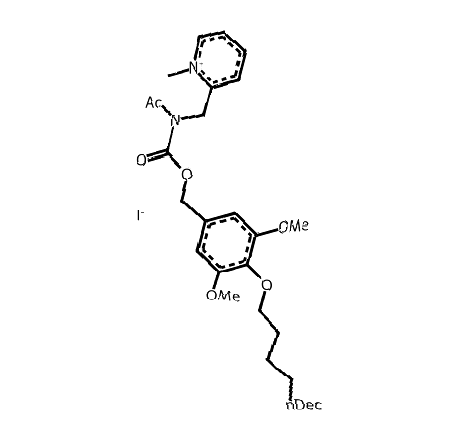 CCCCCCCCCCCCCCOc1c(OC)cc(COC(=O)N(Cc2cccc[n+]2C)C(C)=O)cc1OC.[I-]